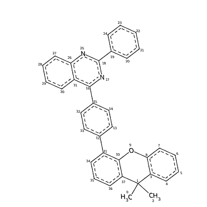 CC1(C)c2ccccc2Oc2c(-c3ccc(-c4nc(-c5ccccc5)nc5ccccc45)cc3)cccc21